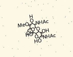 CO[C@H]1C(O)C(NC(C)=O)C(OC2C(CO)OC(O)[C@@H](NC(C)=O)[C@H]2O)O[C@H]1CO